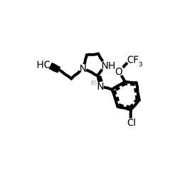 C#CCN1CCN/C1=N\c1cc(Cl)ccc1OC(F)(F)F